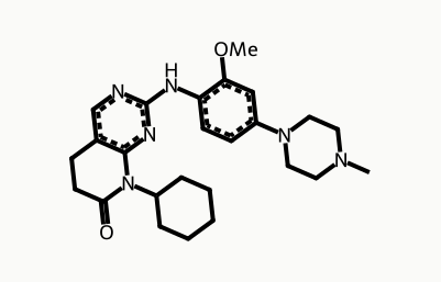 COc1cc(N2CCN(C)CC2)ccc1Nc1ncc2c(n1)N(C1CCCCC1)C(=O)CC2